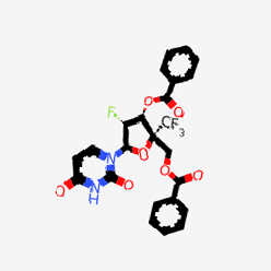 O=C(OC[C@@]1(C(F)(F)F)OC(n2ccc(=O)[nH]c2=O)[C@H](F)[C@@H]1OC(=O)c1ccccc1)c1ccccc1